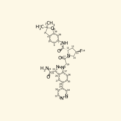 CC1(C)Cc2ccc(NC(=O)[C@@H]3C[C@@H](F)CN3C(=O)Cn3nc(C(N)=O)c4cc(-c5ccnnc5)ccc43)cc2O1